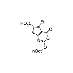 CCCCCCCCOc1nc2sc(C(=O)O)c(CC)c2c(=O)o1